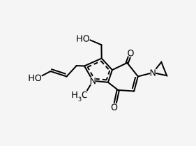 Cn1c(CC=CO)c(CO)c2c1C(=O)C=C(N1CC1)C2=O